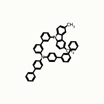 Cc1ccc2c(c1)c1cc(C)ccc1n2-c1cccc(-c2cccc(N(c3ccc(-c4ccccc4)cc3)c3ccc(-c4cccc(-c5ccccc5)c4)cc3)c2)c1